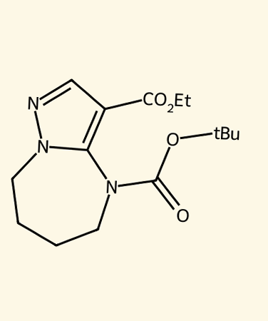 CCOC(=O)c1cnn2c1N(C(=O)OC(C)(C)C)CCCC2